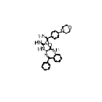 N=C(N[C@@H]1N=C(c2ccccc2)c2ccccc2NC1=O)OC(=N)c1ccc(N2CCOCC2)cc1